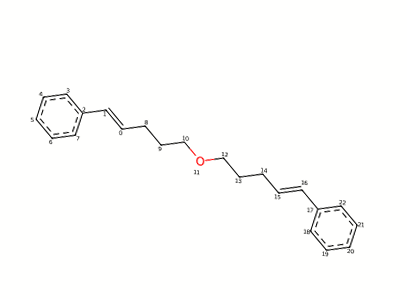 C(=C\c1ccccc1)/CCCOCCC/C=C/c1ccccc1